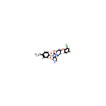 Cc1ccc(S(=O)(=O)NC(=O)[N+]2(C3CCNCC3)CCC(Oc3ccc(F)cc3Cl)CC2)cc1